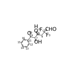 O=CC(F)(F)C[C@H](O)C(O)C(=O)c1ccccc1